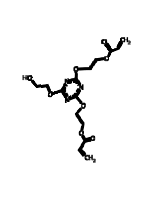 C=CC(=O)OCCOc1nc(OCCO)nc(OCCOC(=O)C=C)n1